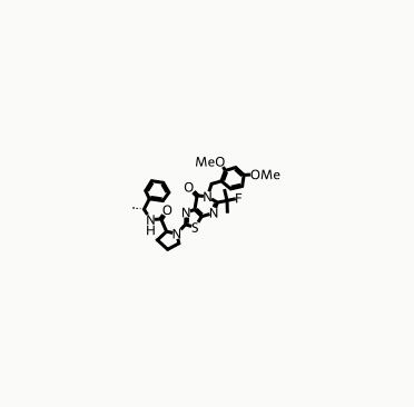 COc1ccc(Cn2c(C(C)(C)F)nc3sc(N4CCCC4C(=O)N[C@H](C)c4ccccc4)nc3c2=O)c(OC)c1